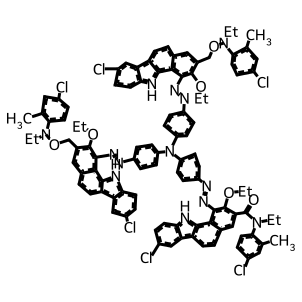 CCOc1c(CON(CC)c2ccc(Cl)cc2C)cc2ccc3c4cc(Cl)ccc4[nH]c3c2c1N=Nc1ccc(N(c2ccc(N=Nc3c(OCC)c(CON(CC)c4ccc(Cl)cc4C)cc4ccc5c6cc(Cl)ccc6[nH]c5c34)cc2)c2ccc(N=Nc3c(OCC)c(C(=O)N(CC)c4ccc(Cl)cc4C)cc4ccc5c6cc(Cl)ccc6[nH]c5c34)cc2)cc1